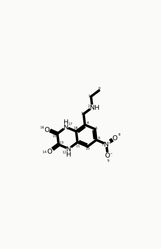 CCNCc1cc([N+](=O)[O-])cc2[nH]c(=O)c(=O)[nH]c12